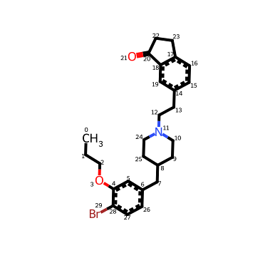 CCCOc1cc(CC2CCN(CCc3ccc4c(c3)C(=O)CC4)CC2)ccc1Br